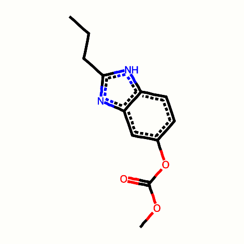 CCCc1nc2cc(OC(=O)OC)ccc2[nH]1